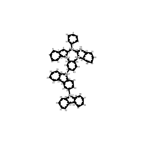 c1ccc(-n2c3cc4ccccc4n3c3cc(-n4c5ccccc5c5cc(-n6c7ccccc7c7ccccc76)ccc54)ccc3n3c4ccccc4nc23)cc1